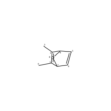 CC1=C(C)C2C=CC1O2